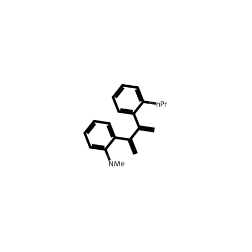 C=C(C(=C)c1ccccc1NC)c1ccccc1CCC